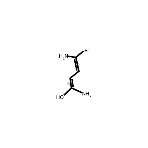 CC(C)/C(N)=C/C=C(\N)O